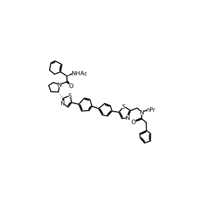 CCCN(Cc1ncc(-c2ccc(-c3ccc(-c4cnc([C@@H]5CCCN5C(=O)[C@H](NC(C)=O)C5=CC=CCC5)s4)cc3)cc2)s1)C(=O)Cc1ccccc1